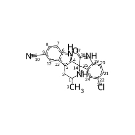 CC1Cc2c([nH]c3ccc(C#N)cc23)C2(N1)C(=O)Nc1ccc(Cl)cc12